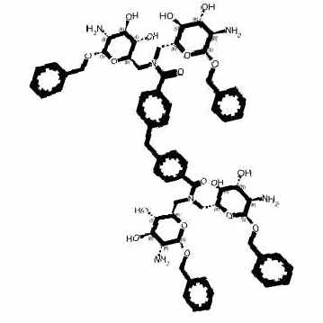 N[C@H]1[C@@H](OCc2ccccc2)O[C@H](CN(C[C@H]2O[C@H](OCc3ccccc3)[C@H](N)[C@@H](O)[C@@H]2O)C(=O)c2ccc(Cc3ccc(C(=O)N(C[C@H]4O[C@H](OCc5ccccc5)[C@H](N)[C@@H](O)[C@@H]4O)C[C@H]4O[C@H](OCc5ccccc5)[C@H](N)[C@@H](O)[C@@H]4O)cc3)cc2)[C@@H](O)[C@@H]1O